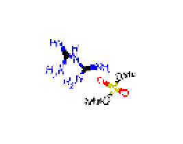 COS(=O)(=O)OC.N=C(N)NC(=N)N